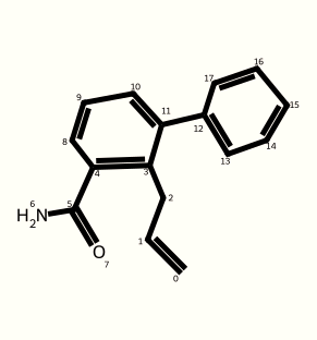 C=CCc1c(C(N)=O)cccc1-c1ccccc1